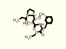 CCOC(=O)[C@H](Cc1ccccc1)NC(=O)[C@H](C)[C@@H](OC)[C@@H]1CCCN1C(=O)CC